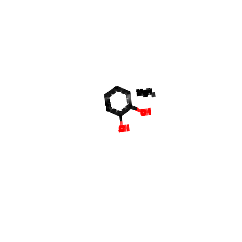 Oc1ccccc1O.[MgH2]